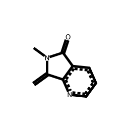 C=C1c2ncccc2C(=O)N1C